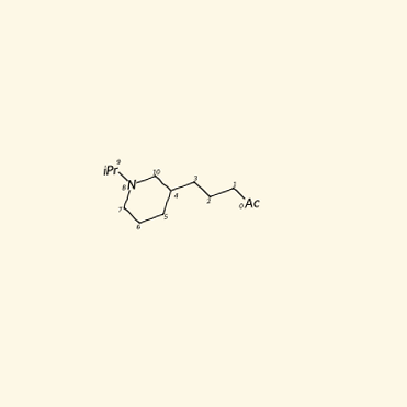 CC(=O)CCCC1CCCN(C(C)C)C1